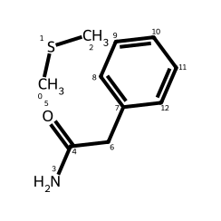 CSC.NC(=O)Cc1ccccc1